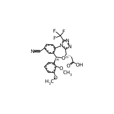 COc1cccc([C@@H]2O[C@@H](CC(=O)O)c3nnc(C(F)(F)F)n3-c3ccc(C#N)cc32)c1OC